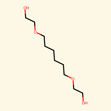 OCCOCCCCCCOCCO